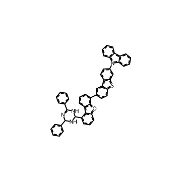 c1ccc(C2=NC(c3ccccc3)NC(c3cccc4oc5c(-c6ccc7sc8cc(-n9c%10ccccc%10c%10ccccc%109)ccc8c7c6)cccc5c34)N2)cc1